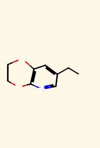 CCc1cnc2c(c1)OCCO2